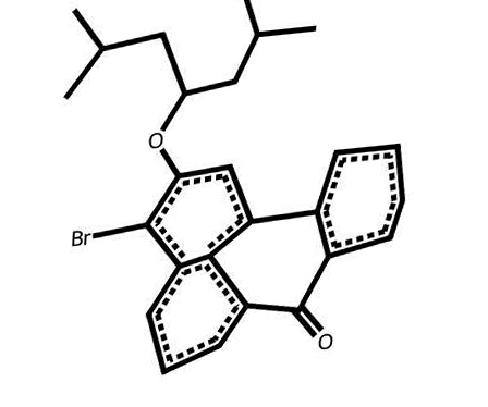 CC(C)CC(CC(C)C)Oc1cc2c3c(cccc3c1Br)C(=O)c1ccccc1-2